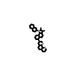 Cc1c(C)n(-c2ccc3ccccc3c2)c2c1ccc1c(-c3cnc4c(ccc5cccnc54)c3)cccc12